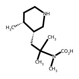 C[C@@H]1CCNC[C@@H]1CC(C)(C)N(C)C(=O)O